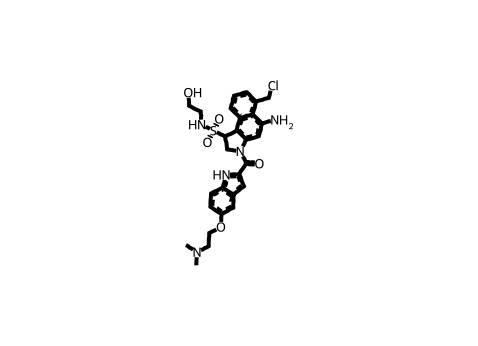 CN(C)CCOc1ccc2[nH]c(C(=O)N3CC(S(=O)(=O)NCCO)c4c3cc(N)c3c(CCl)cccc43)cc2c1